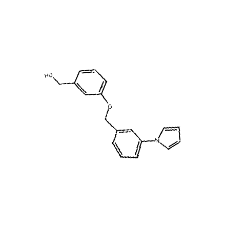 OCc1cccc(OCc2cccc(-n3cccc3)c2)c1